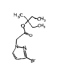 CCC(C)(CC)OC(=O)Cn1ccc(Br)n1